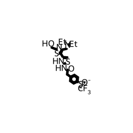 CCN(CC)Cc1nc(CO)sc1C1=CSC(NC(=O)Cc2ccc([S+]([O-])C(F)(F)F)cc2)N1